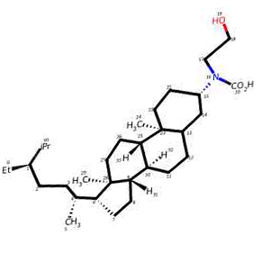 CC[C@H](CC[C@@H](C)[C@H]1CC[C@H]2[C@@H]3CCC4C[C@@H](N(CCO)C(=O)O)CC[C@]4(C)[C@H]3CC[C@]12C)C(C)C